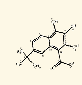 CC(C)(C)c1ccc2c(O)c(O)c(O)c(C(=O)O)c2c1